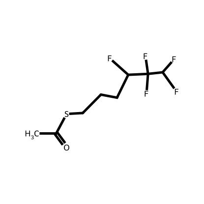 CC(=O)SCCCC(F)C(F)(F)C(F)F